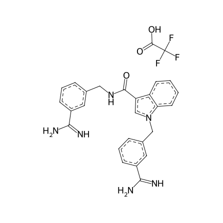 N=C(N)c1cccc(CNC(=O)c2cn(Cc3cccc(C(=N)N)c3)c3ccccc23)c1.O=C(O)C(F)(F)F